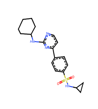 O=S(=O)(NC1CC1)c1ccc(-c2ccnc(NC3CCCCC3)n2)cc1